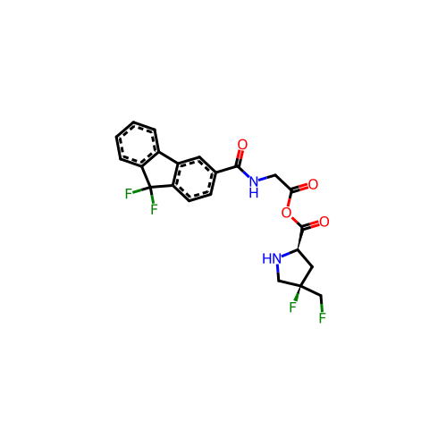 O=C(CNC(=O)c1ccc2c(c1)-c1ccccc1C2(F)F)OC(=O)[C@H]1C[C@](F)(CF)CN1